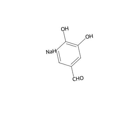 O=Cc1ccc(O)c(O)c1.[NaH]